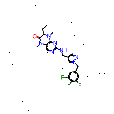 CC[C@@H]1C(=O)N(C)c2cnc(NCc3cnn(Cc4cc(F)c(F)c(F)c4)c3)nc2N1C